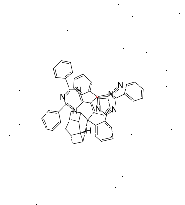 N#Cc1ccc(C2(c3ccccc3-c3nc(-c4ccccc4)nc(-c4ccccc4)n3)C3CC4CC5CC2[C@H]5C43)c(-c2nc(-c3ccccc3)nc(-c3ccccc3)n2)c1